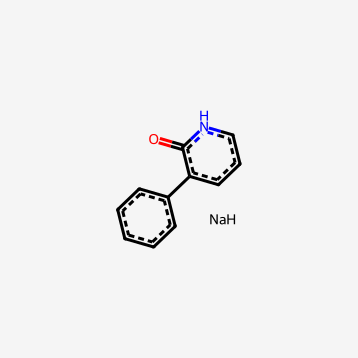 O=c1[nH]cccc1-c1ccccc1.[NaH]